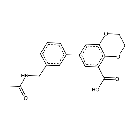 CC(=O)NCc1cccc(-c2cc3c(c(C(=O)O)c2)OCCO3)c1